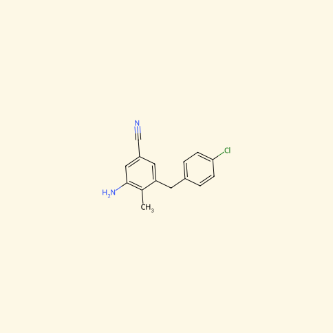 Cc1c(N)cc(C#N)cc1Cc1ccc(Cl)cc1